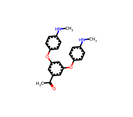 CNc1ccc(Oc2cc(Oc3ccc(NC)cc3)cc(C(C)=O)c2)cc1